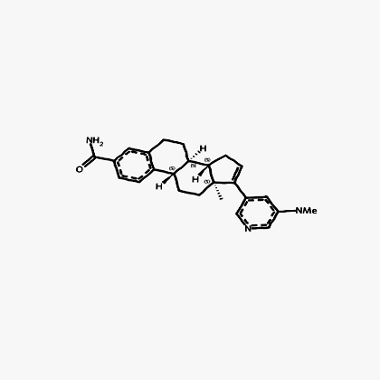 CNc1cncc(C2=CC[C@H]3[C@@H]4CCc5cc(C(N)=O)ccc5[C@H]4CC[C@]23C)c1